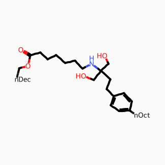 CCCCCCCCCCCOC(=O)CCCCCCNC(CO)(CO)CCc1ccc(CCCCCCCC)cc1